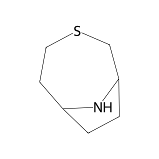 C1CC2CCC(CS1)N2